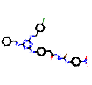 O=C(Cc1ccc(Nc2nc(NCc3ccc(F)cc3)nc(NCC3CCCCC3)n2)cc1)NNC(=S)Nc1ccc([N+](=O)[O-])cc1